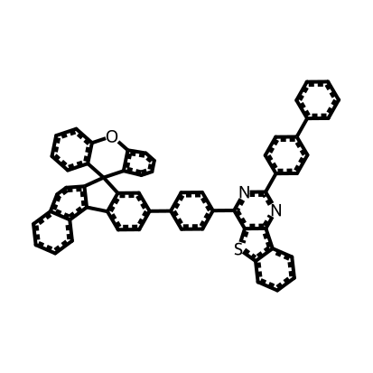 c1ccc(-c2ccc(-c3nc(-c4ccc(-c5ccc6c(c5)C5(c7ccccc7Oc7ccccc75)c5ccc7ccccc7c5-6)cc4)c4sc5ccccc5c4n3)cc2)cc1